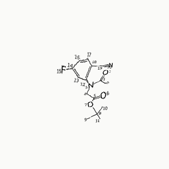 CC(=O)N(CC(=O)OC(C)(C)C)c1cc(F)ccc1C#N